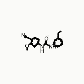 CCc1cccc(NC(=O)Nc2ccc(C#N)c(OC)c2)c1